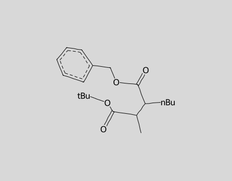 CCCCC(C(=O)OCc1ccccc1)C(C)C(=O)OC(C)(C)C